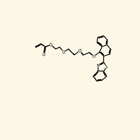 C=CC(=O)OCCOCCOCCOc1c(-c2nc3ccccc3s2)ccc2ccccc12